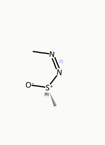 C/N=N\[S@+](C)[O-]